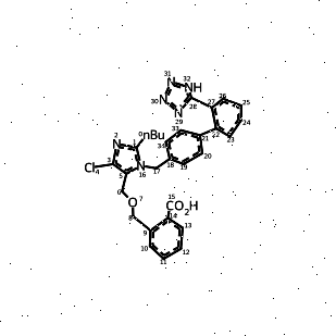 CCCCc1nc(Cl)c(COCc2ccccc2C(=O)O)n1Cc1ccc(-c2ccccc2-c2nnn[nH]2)cc1